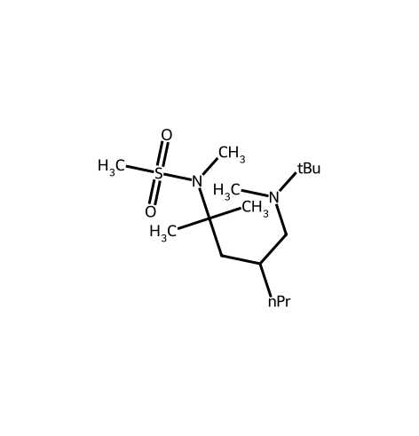 CCCC(CN(C)C(C)(C)C)CC(C)(C)N(C)S(C)(=O)=O